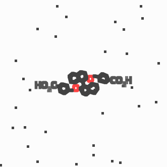 O=C(O)c1ccc(COc2ccc3ccccc3c2-c2c(OCc3ccc(C(=O)O)cc3)ccc3ccccc23)cc1